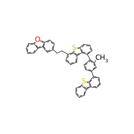 Cc1cc(-c2cccc3c2sc2ccccc23)ccc1-c1cccc2sc3c(CCc4ccc5oc6ccccc6c5c4)cccc3c12